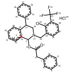 CCC(OC(=O)Cc1ccccc1)N(Cc1cccc(C(F)(F)F)c1Cl)CC(c1ccccc1)c1ccccc1.Cl